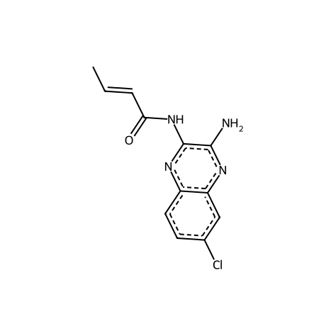 C/C=C/C(=O)Nc1nc2ccc(Cl)cc2nc1N